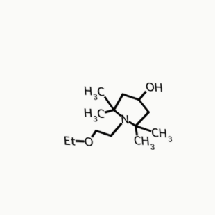 CCOCCN1C(C)(C)CC(O)CC1(C)C